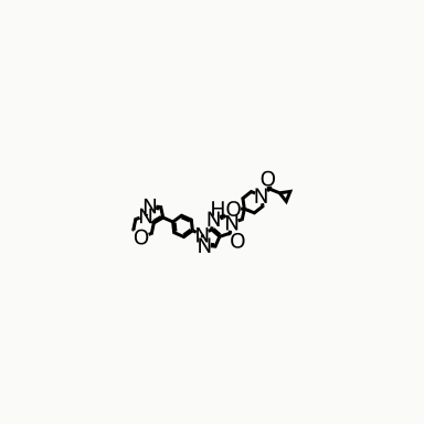 O=C(C1CC1)N1CCC(O)(Cn2cnc3c(cnn3-c3ccc(-c4cnn5c4COCC5)cc3)c2=O)CC1